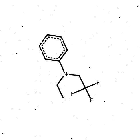 CCN(CC(F)(F)F)c1ccccc1